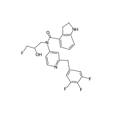 O=C(c1cccc2c1CCN2)N(CC(O)CF)c1ccnc(Cc2cc(F)c(F)c(F)c2)c1